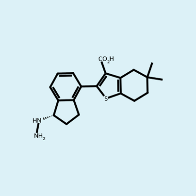 CC1(C)CCc2sc(-c3cccc4c3CC[C@@H]4NN)c(C(=O)O)c2C1